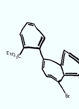 CCOC(=O)c1ccccc1-c1ccc(Br)c2ccccc12